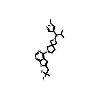 CC(C)[C@H](c1cnn(C)c1)N1CC2(CCN(c3ncnc4sc(CC(F)(F)F)cc34)C2)C1